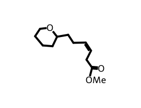 COC(=O)C/C=C\CCC1CCCCO1